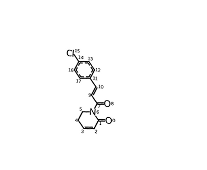 O=C1C=CCCN1C(=O)C=Cc1ccc(Cl)cc1